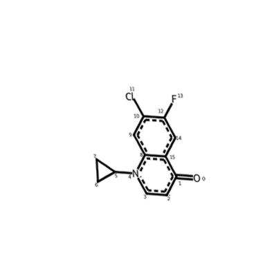 O=c1[c]cn(C2CC2)c2cc(Cl)c(F)cc12